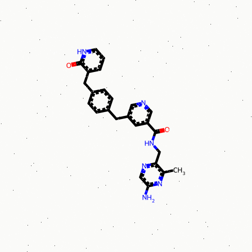 Cc1nc(N)cnc1CNC(=O)c1cncc(Cc2ccc(Cc3ccc[nH]c3=O)cc2)c1